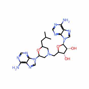 CC(C)CC1CN(CC2O[C@@H](n3cnc4c(N)ncnc43)[C@H](O)[C@@H]2O)CC(n2cnc3c(N)ncnc32)O1